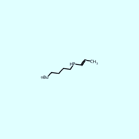 CC=CPCCCCCCCC